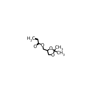 C=CC(=O)OCC1COC(C)(C)O1